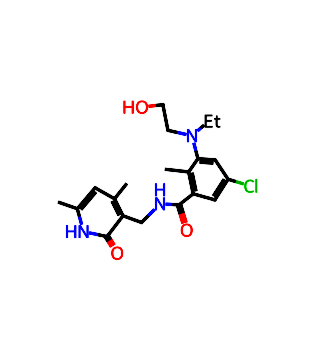 CCN(CCO)c1cc(Cl)cc(C(=O)NCc2c(C)cc(C)[nH]c2=O)c1C